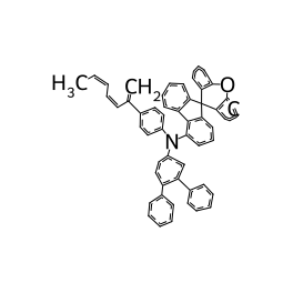 C=C(/C=C\C=C/C)c1ccc(N(c2ccc(-c3ccccc3)c(-c3ccccc3)c2)c2cccc3c2-c2ccccc2C32c3ccccc3Oc3ccccc32)cc1